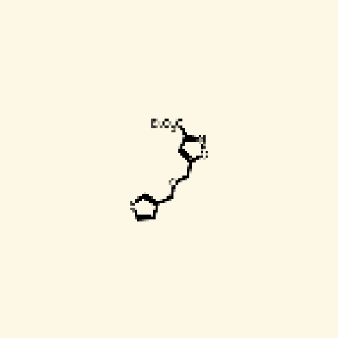 CCOC(=O)c1cc(COCc2ccsc2)on1